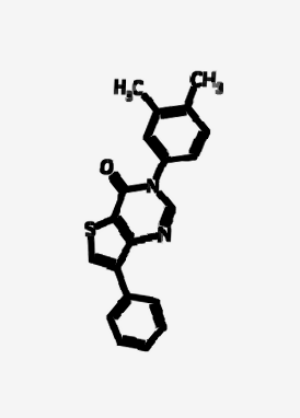 Cc1ccc(-n2cnc3c(-c4ccccc4)csc3c2=O)cc1C